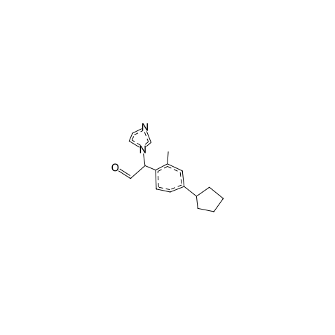 Cc1cc(C2CCCC2)ccc1C(C=O)n1ccnc1